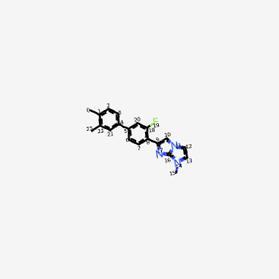 Cc1ccc(-c2ccc(-c3cn4ccn(C)c4n3)c(F)c2)cc1C